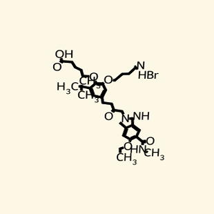 Br.CCOc1cc2c(cc1C(=O)NC)C(=N)N(CC(=O)CCc1cc(OCCCC#N)c(OCCCCC(=O)O)c(C(C)(C)C)c1)C2